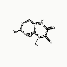 CC(C)n1c(=O)c(=O)[nH]c2cnc(Cl)nc21